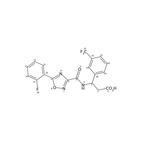 O=C(O)CC(NC(=O)c1noc(-c2ccccc2F)n1)c1cccc(C(F)(F)F)c1